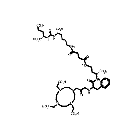 O=C(O)CC[C@H](NC(=O)N[C@@H](CCCCNC(=O)CCC(=O)NCC[C@@H](NC(=O)C(Cc1ccccc1)NCC(=O)CN1CCN(CC(=O)O)CCN(CC(=O)O)CCN(CC(=O)O)CC1)C(=O)O)C(=O)O)C(=O)O